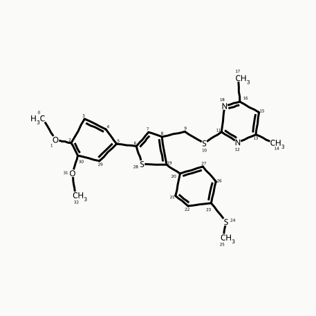 COc1ccc(-c2cc(CSc3nc(C)cc(C)n3)c(-c3ccc(SC)cc3)s2)cc1OC